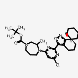 CC1CN(C(=O)OC(C)(C)C)CCCN1c1cc(Cl)nc(-c2onc3c2CCC[C@@]32CCCCC23OCCO3)n1